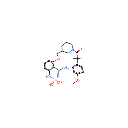 COc1ccc(C(C)(C)C(=O)N2CCCC(COc3cccc4c3C(N)=NS(O)(O)N4)C2)cc1